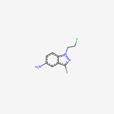 Nc1ccc2c(c1)c(F)nn2CCF